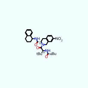 CC[C@@H](C)C(=O)N[C@H](C(=O)N1Cc2cc([N+](=O)[O-])ccc2C[C@H]1C(=O)NC1CCCc2ccccc21)C(C)(C)C